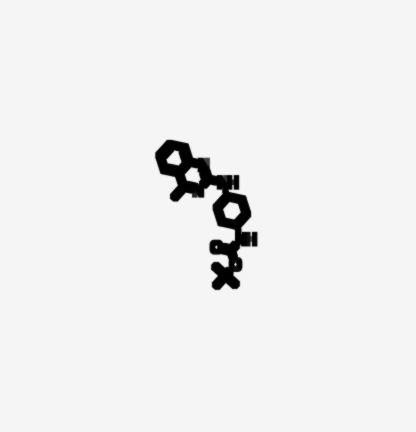 Cc1nc(N[C@H]2CC[C@@H](NC(=O)OC(C)(C)C)CC2)nc2ccccc12